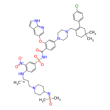 C[C@@H](CCN1CCC(N=S(C)(C)=O)CC1)Nc1ccc(S(=O)(=O)NC(=O)c2ccc(N3CCN(CC4=C(c5ccc(Cl)cc5)CC(C)(C)CC4)CC3)cc2Oc2cnc3[nH]ccc3c2)cc1[N+](=O)[O-]